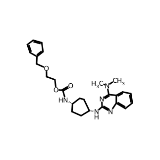 CN(C)c1nc(N[C@H]2CC[C@@H](NC(=O)OCCOCc3ccccc3)CC2)nc2ccccc12